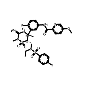 CCN(C[C@H]1[C@@](C)(c2cc(NC(=O)c3ccc(OC)cn3)ccc2F)NC(=N)N(C)S1(=O)=O)S(=O)(=O)c1ccc(F)cc1